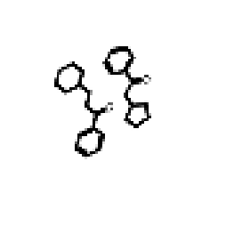 O=C(CC1CCCC1)c1ccccc1.O=C(CCC1CCCCC1)c1ccccc1